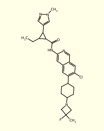 CCC1C(C(=O)Nc2cc3cc(C4CCC(N5CC(C)(F)C5)CC4)c(Cl)cc3cn2)C1c1cnn(C)c1